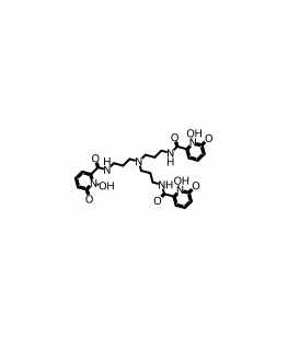 O=C(NCCCN(CCCNC(=O)c1cccc(=O)n1O)CCCNC(=O)c1cccc(=O)n1O)c1cccc(=O)n1O